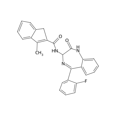 CC1=C(C(=O)NC2N=C(c3ccccc3F)c3ccccc3NC2=O)Cc2ccccc21